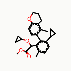 COC(=O)C(OC1CC1)c1c(C)ccc(C2CC2)c1-c1ccc2c(c1C)CCCO2